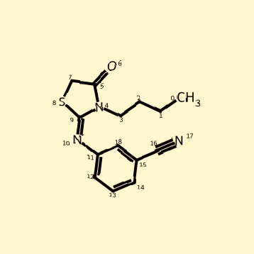 CCCCN1C(=O)CSC1=Nc1cccc(C#N)c1